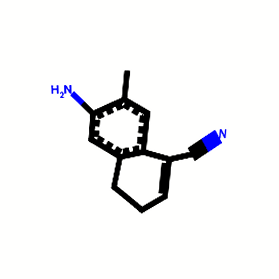 Cc1cc2c(cc1N)CCC=C2C#N